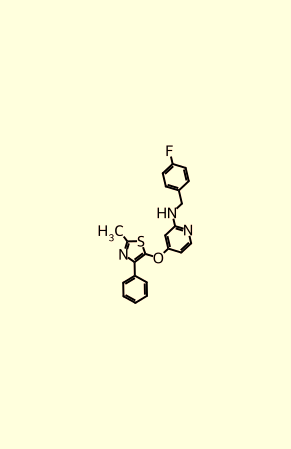 Cc1nc(-c2ccccc2)c(Oc2ccnc(NCc3ccc(F)cc3)c2)s1